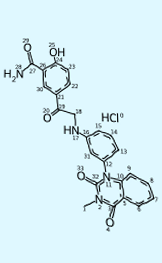 Cl.Cn1c(=O)c2ccccc2n(-c2cccc(NCC(=O)c3ccc(O)c(C(N)=O)c3)c2)c1=O